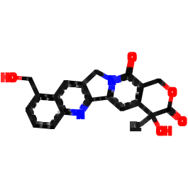 CCC1(O)C(=O)OCc2c1cc1n(c2=O)Cc2cc3c(CO)cccc3nc2-1